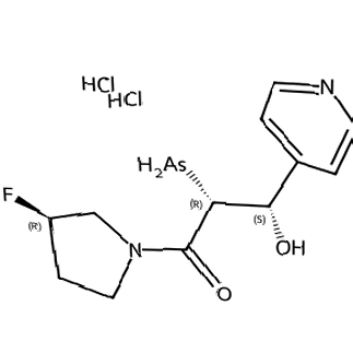 Cl.Cl.O=C([C@H]([AsH2])[C@@H](O)c1ccncc1)N1CC[C@@H](F)C1